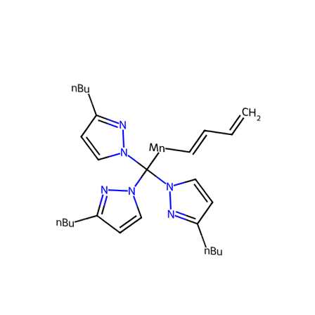 C=CC=[CH][Mn][C](n1ccc(CCCC)n1)(n1ccc(CCCC)n1)n1ccc(CCCC)n1